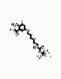 Cc1c(I)cc(OCCCCCCNC(=O)OC(C)(C)C)cc1C(=O)O